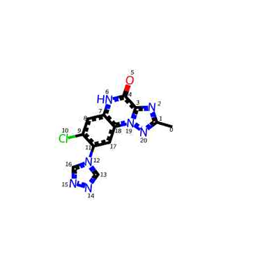 Cc1nc2c(=O)[nH]c3cc(Cl)c(-n4cnnc4)cc3n2n1